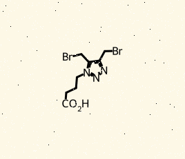 O=C(O)CCCn1nnc(CBr)c1CBr